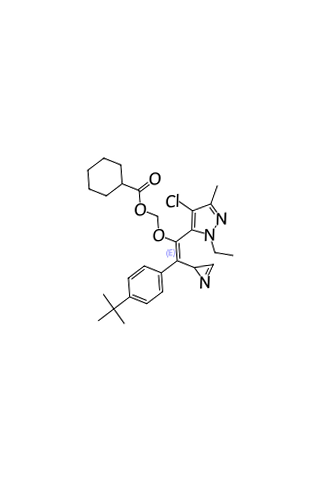 CCn1nc(C)c(Cl)c1/C(OCOC(=O)C1CCCCC1)=C(/c1ccc(C(C)(C)C)cc1)C1C=N1